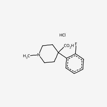 CN1CCC(C(=O)O)(c2ccccc2F)CC1.Cl